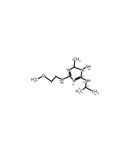 COCCNC1=NC(C)N(S)C(NC(C)C)=N1